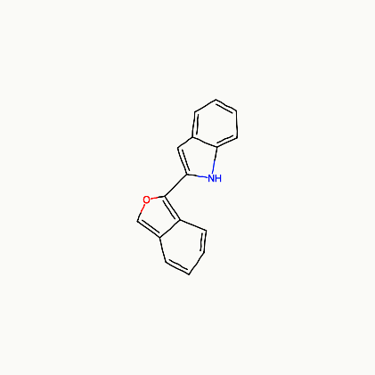 c1ccc2[nH]c(-c3occ4ccccc34)cc2c1